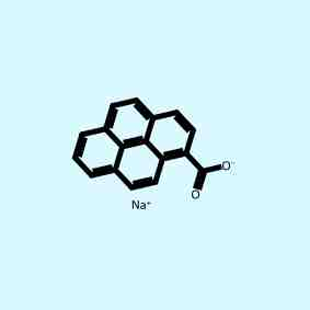 O=C([O-])c1ccc2ccc3cccc4ccc1c2c34.[Na+]